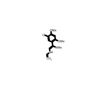 C=CN/C=C(\NC)c1cc(Cl)c(OC)cc1OC